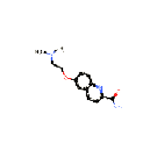 CN(C)CCOc1c[c]c2nc(C(N)=O)ccc2c1